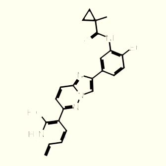 C=C/C=C\C(=C(/N)C(F)(F)F)c1ccc2nc(-c3ccc(CC)c(NC(=O)C4(C)CC4)c3)cn2n1